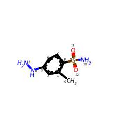 Cc1cc(NN)ccc1S(N)(=O)=O